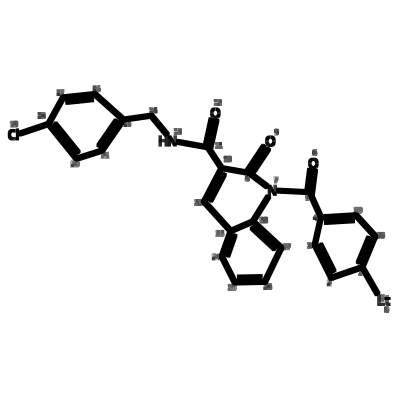 CCc1ccc(C(=O)n2c(=O)c(C(=O)NCc3ccc(Cl)cc3)cc3ccccc32)cc1